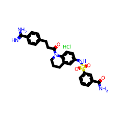 Cl.N=C(N)c1ccc(CCC(=O)N2CCCc3cc(NS(=O)(=O)c4cccc(C(N)=O)c4)ccc32)cc1